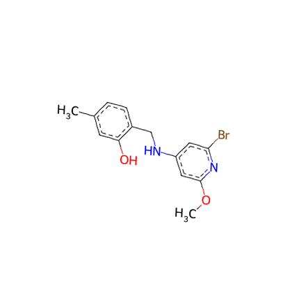 COc1cc(NCc2ccc(C)cc2O)cc(Br)n1